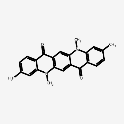 Cc1ccc2c(=O)c3cc4c(cc3n(C)c2c1)c(=O)c1ccc(P)cc1n4C